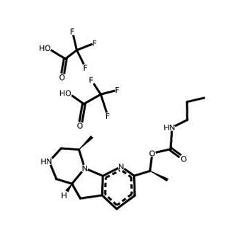 CCCNC(=O)O[C@@H](C)c1ccc2c(n1)N1[C@@H](CNC[C@H]1C)C2.O=C(O)C(F)(F)F.O=C(O)C(F)(F)F